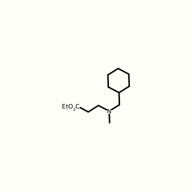 CCOC(=O)CCN(C)CC1CCCCC1